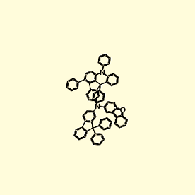 c1ccc(-c2ccc3c4c2-c2ccc(N(c5ccc6c(c5)C(c5ccccc5)(c5ccccc5)c5ccccc5-6)c5ccc6oc7ccccc7c6c5)cc2C4(c2ccccc2)c2ccccc2N3c2ccccc2)cc1